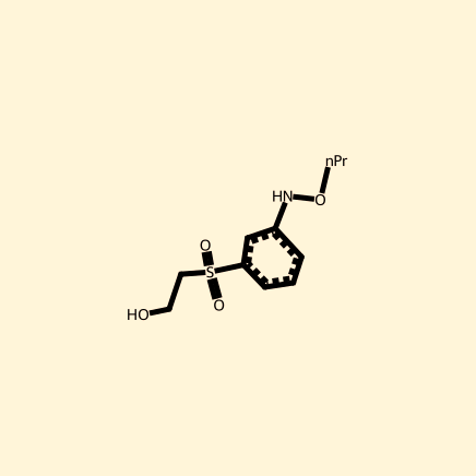 CCCONc1cccc(S(=O)(=O)CCO)c1